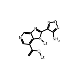 C=C(OCC)c1cncc2nc(-c3nonc3N)n(CC)c12